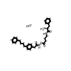 Cl.N[C@@H](Cc1ccccc1)C(=O)NCCCC(=O)ONC(=O)Cc1ccc(CCCCc2ccccc2)cc1